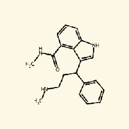 CNCCC(c1ccccc1)c1c[nH]c2cccc(C(=O)NC)c12